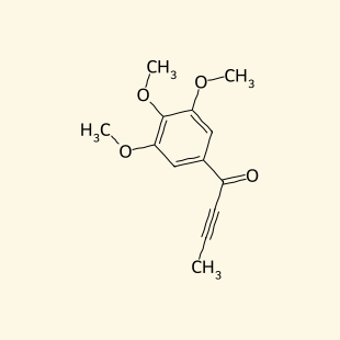 CC#CC(=O)c1cc(OC)c(OC)c(OC)c1